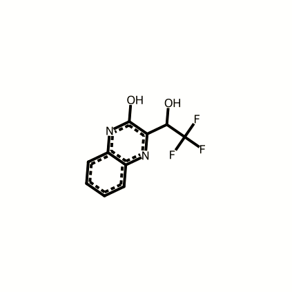 Oc1nc2ccccc2nc1C(O)C(F)(F)F